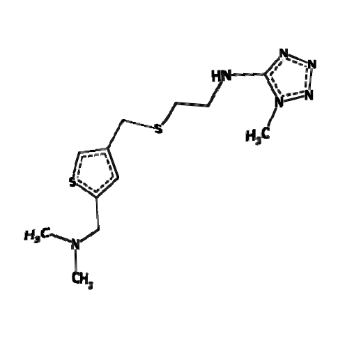 CN(C)Cc1cc(CSCCNc2nnnn2C)cs1